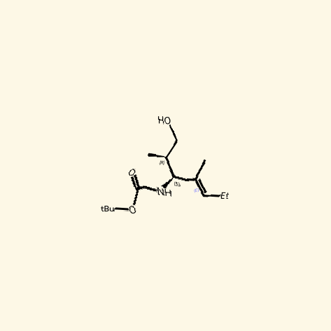 CC/C=C(\C)[C@@H](NC(=O)OC(C)(C)C)[C@@H](C)CO